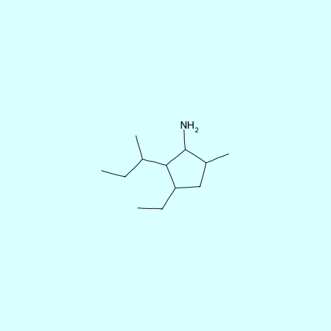 CCC(C)C1C(CC)CC(C)C1N